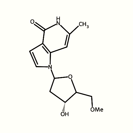 COCC1OC(n2ccc3c(=O)[nH]c(C)cc32)C[C@H]1O